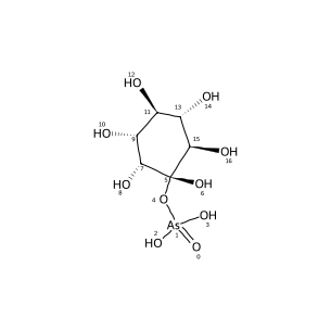 O=[As](O)(O)O[C@]1(O)[C@H](O)[C@H](O)[C@@H](O)[C@H](O)[C@H]1O